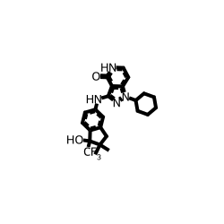 CC1(C)Cc2cc(Nc3nn(C4CCCCC4)c4cc[nH]c(=O)c34)ccc2C1(O)C(F)(F)F